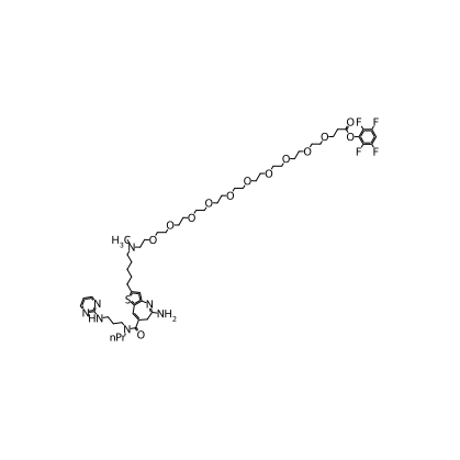 CCCN(CCCNc1ncccn1)C(=O)C1=Cc2sc(CCCCCN(C)CCOCCOCCOCCOCCOCCOCCOCCOCCOCCOCCC(=O)Oc3c(F)c(F)cc(F)c3F)cc2N=C(N)C1